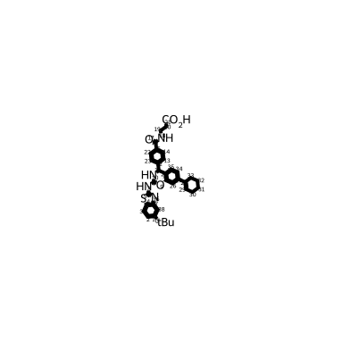 CC(C)(C)c1ccc2sc(NC(=O)NC(c3ccc(C(=O)NCCC(=O)O)cc3)c3ccc(C4=CCCCC4)cc3)nc2c1